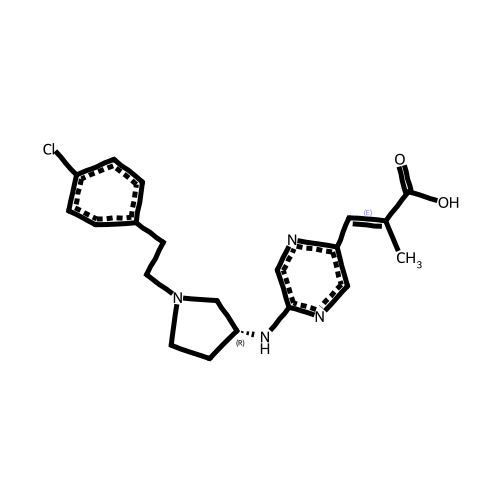 C/C(=C\c1cnc(N[C@@H]2CCN(CCc3ccc(Cl)cc3)C2)cn1)C(=O)O